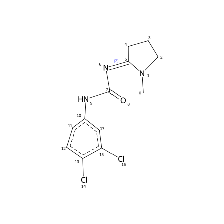 CN1CCC/C1=N/C(=O)Nc1ccc(Cl)c(Cl)c1